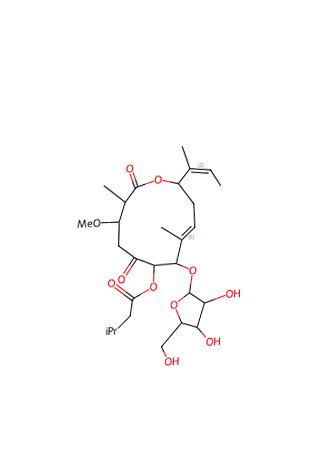 C/C=C(/C)C1C/C=C(\C)C(OC2OC(CO)C(O)C2O)C(OC(=O)CC(C)C)C(=O)CC(OC)C(C)C(=O)O1